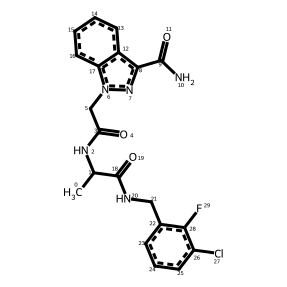 CC(NC(=O)Cn1nc(C(N)=O)c2ccccc21)C(=O)NCc1cccc(Cl)c1F